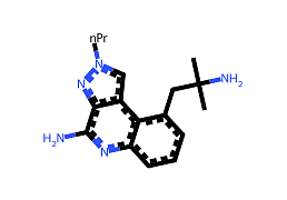 CCCn1cc2c(n1)c(N)nc1cccc(CC(C)(C)N)c12